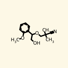 COc1ccccc1C(CO)OCC(C)(C)C#N